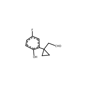 O=CCC1(c2cc(F)ccc2O)CC1